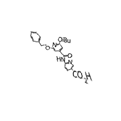 CC(C)COc1cc(C(=O)Nc2ccc(C(=O)O)cn2)cc(OCCc2ccccc2)n1